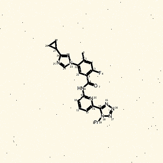 Cc1cc(F)c(C(=O)Nc2cccc(-c3nnnn3C(C)C)n2)cc1-n1cnc(C2CC2)c1